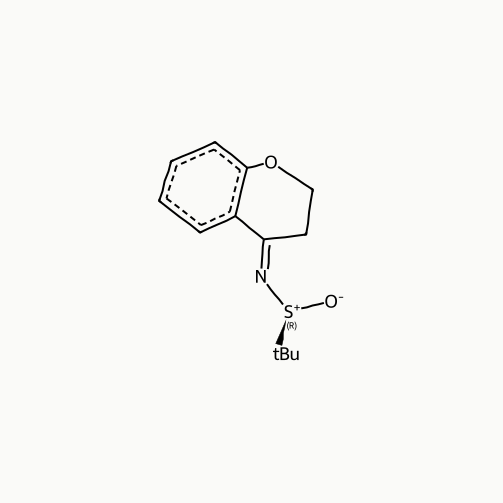 CC(C)(C)[S@+]([O-])N=C1CCOc2ccccc21